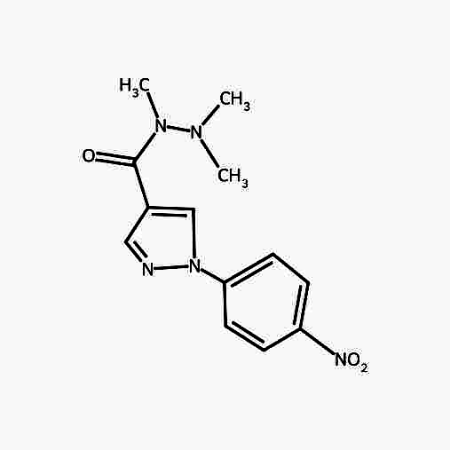 CN(C)N(C)C(=O)c1cnn(-c2ccc([N+](=O)[O-])cc2)c1